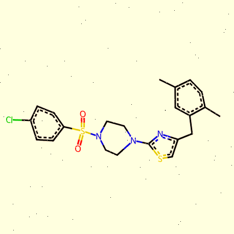 Cc1ccc(C)c(Cc2csc(N3CCN(S(=O)(=O)c4ccc(Cl)cc4)CC3)n2)c1